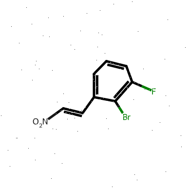 O=[N+]([O-])C=Cc1cccc(F)c1Br